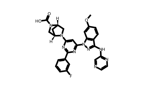 COc1ccc2c(Nc3cnccn3)nn(-c3cc(N4C[C@@H]5C[C@H]4CN5C(=O)O)nc(-c4cccc(F)c4)n3)c2c1